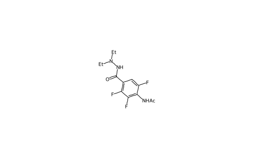 CCN(CC)NC(=O)c1cc(F)c(NC(C)=O)c(F)c1F